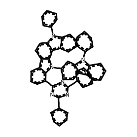 c1ccc(-c2nc(-c3ccccc3)nc(-c3cccc4c5ccc6c(c7ccccc7n6-c6ccccc6)c5n(-c5ccc6c7ccccc7n(-c7ccccc7)c6c5)c34)n2)cc1